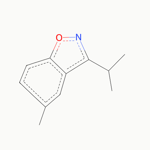 Cc1ccc2onc(C(C)C)c2c1